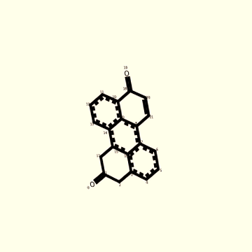 O=C1Cc2cccc3c4c5c(cccc5c(c23)C1)C(=O)C=C4